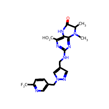 CC1C(=O)Nc2c(C(=O)O)nc(NCc3cnn(Cc4ccc(C(F)(F)F)nc4)c3)nc2N1C